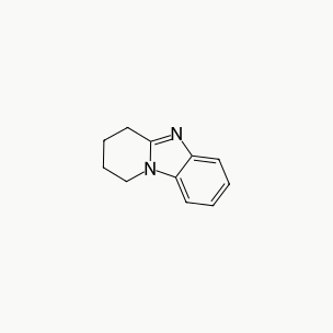 c1ccc2c(c1)nc1n2CCCC1